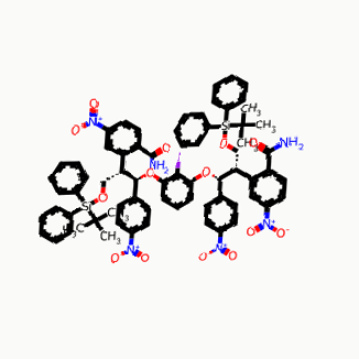 CC(C)(C)[Si](OC[C@H](c1cc([N+](=O)[O-])ccc1C(N)=O)[C@@H](Oc1cccc(O[C@@H](c2ccc([N+](=O)[O-])cc2)[C@H](CO[Si](c2ccccc2)(c2ccccc2)C(C)(C)C)c2cc([N+](=O)[O-])ccc2C(N)=O)c1I)c1ccc([N+](=O)[O-])cc1)(c1ccccc1)c1ccccc1